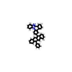 c1ccc(-c2c3ccccc3cc3c(-c4ccc5c(c4)c4ccccc4c4nc6ccccc6n54)c4ccccc4cc23)cc1